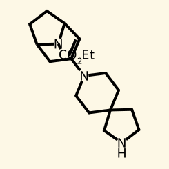 CCOC(=O)N1C2C=C(N3CCC4(CCNC4)CC3)CC1CC2